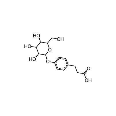 O=C(O)CCc1ccc(O[C@@H]2OC(CO)[C@H](O)C(O)[C@@H]2O)cc1